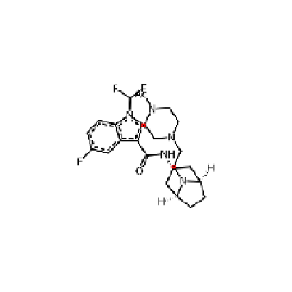 CC(=O)N1CCN(CCN2[C@@H]3CC[C@H]2C[C@H](NC(=O)c2nn(C(F)F)c4ccc(F)cc24)C3)CC1